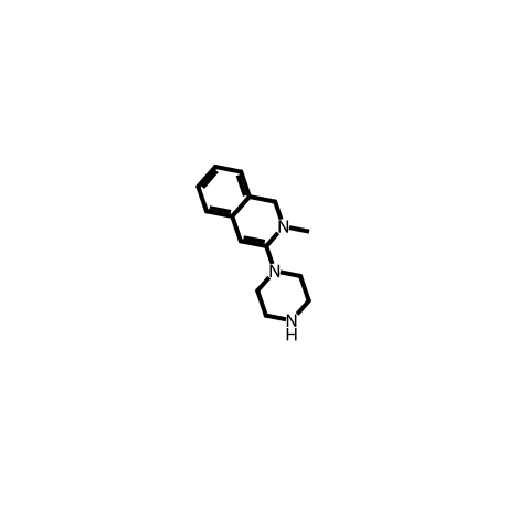 CN1Cc2ccccc2C=C1N1CCNCC1